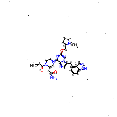 C=CC(=O)N1CCN(c2nc(OCC3CCCN3C)nn3c(Cc4cccc5[nH]ncc45)cnc23)CC1CC(N)=O